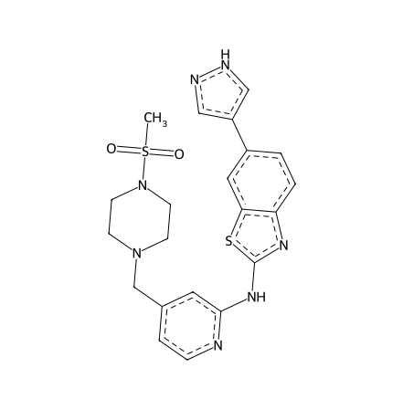 CS(=O)(=O)N1CCN(Cc2ccnc(Nc3nc4ccc(-c5cn[nH]c5)cc4s3)c2)CC1